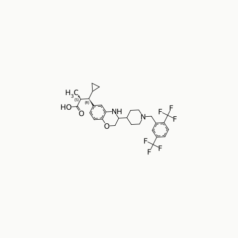 C[C@H](C(=O)O)[C@H](c1ccc2c(c1)NC(C1CCN(Cc3cc(C(F)(F)F)ccc3C(F)(F)F)CC1)CO2)C1CC1